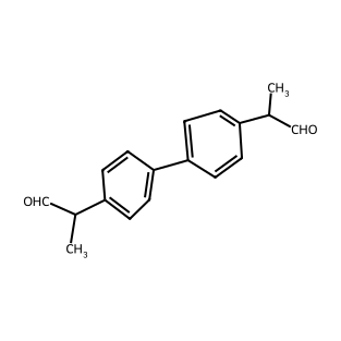 CC(C=O)c1ccc(-c2ccc(C(C)C=O)cc2)cc1